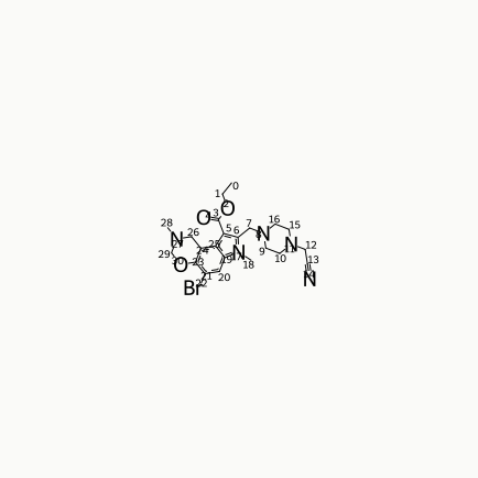 CCOC(=O)c1c(CN2CCN(CC#N)CC2)n(C)c2cc(Br)c3c(c12)CN(C)CO3